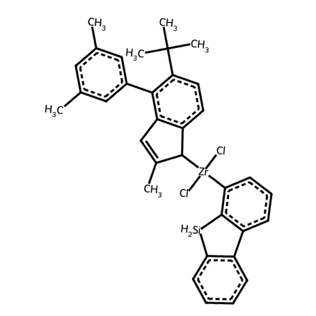 CC1=Cc2c(ccc(C(C)(C)C)c2-c2cc(C)cc(C)c2)[CH]1[Zr]([Cl])([Cl])[c]1cccc2c1[SiH2]c1ccccc1-2